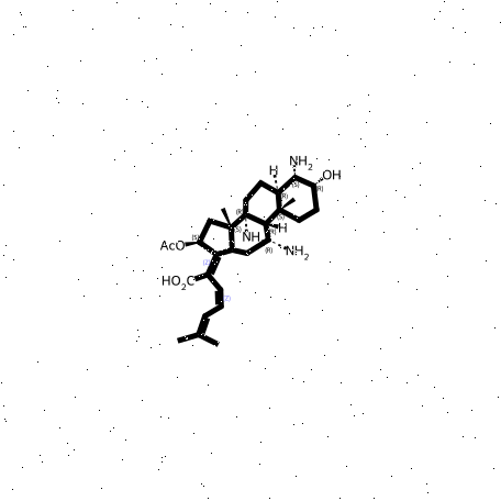 CC(=O)O[C@H]1C[C@@]2(C)C(C[C@@H](N)[C@H]3[C@@]4(C)CC[C@@H](O)[C@@H](N)[C@@H]4CC[C@@]32N)/C1=C(\C=C/C=C(C)C)C(=O)O